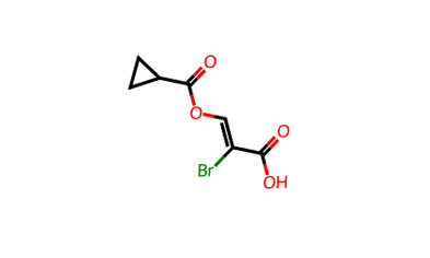 O=C(O)C(Br)=COC(=O)C1CC1